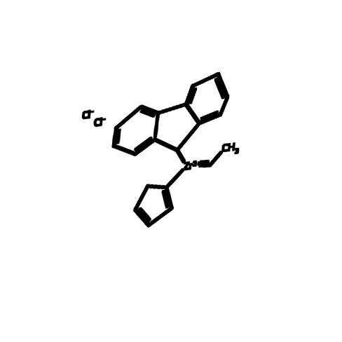 C/[CH]=[Zr+2](/[C]1=CC=CC1)[CH]1c2ccccc2-c2ccccc21.[Cl-].[Cl-]